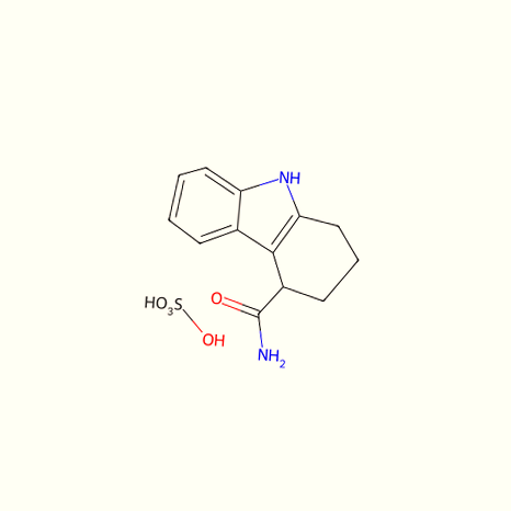 NC(=O)C1CCCc2[nH]c3ccccc3c21.O=S(=O)(O)O